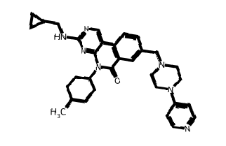 CC1CCC(n2c(=O)c3cc(CN4CCN(c5ccncc5)CC4)ccc3c3cnc(NCC4CC4)nc32)CC1